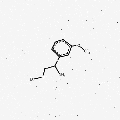 CCOCC(N)c1cccc(OC(F)(F)F)c1